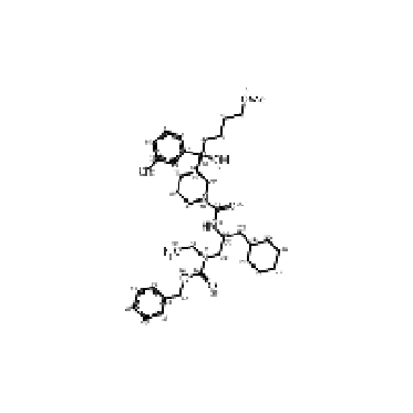 COCCCC[C@@](O)(c1cccc(Cl)c1)[C@@H]1CCCN(C(=O)N[C@@H](CC2CCCCC2)CN(CC(F)(F)F)C(=O)OCc2ccccc2)C1